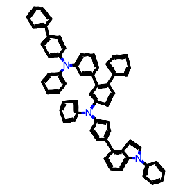 c1ccc(-c2ccc(N(c3ccccc3)c3cccc(-c4cc(N(c5ccccc5)c5ccc(-c6cccc7c6ccn7-c6ccccc6)cc5)ccc4-c4ccccc4)c3)cc2)cc1